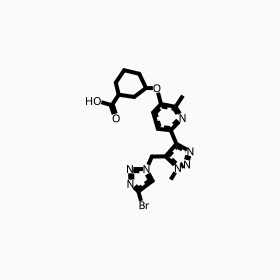 Cc1nc(-c2nnn(C)c2Cn2cc(Br)nn2)ccc1OC1CCCC(C(=O)O)C1